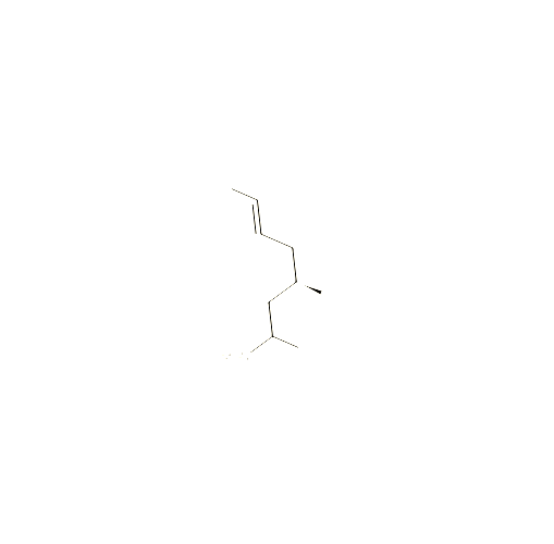 C/C=C/C[C@@H](C)[C@@H](O)C(NC)C(=O)O